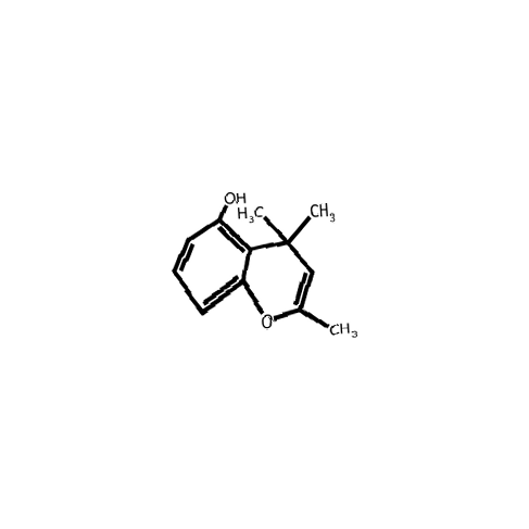 CC1=CC(C)(C)c2c(O)cccc2O1